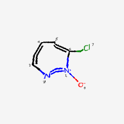 [O-][n+]1ncccc1Cl